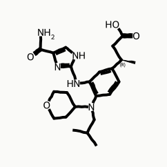 CC(C)CN(c1ccc([C@H](C)CC(=O)O)cc1Nc1nc(C(N)=O)c[nH]1)C1CCOCC1